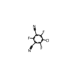 N#Cc1c(F)c(Cl)c(F)c(C#N)c1F